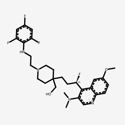 COc1ccc2ncc(N(C)C)c([C@H](F)CCC3(CO)CCN(CCNc4c(F)cc(F)cc4F)CC3)c2c1